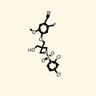 COc1cc(C#N)c(F)cc1OCC1(CO)CN(S(=O)(=O)c2ccc(Cl)cc2Cl)C1